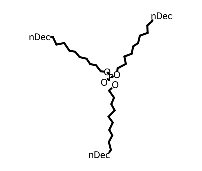 CCCCCCCCCCCCCCCCCCCCOP(=O)(OCCCCCCCCCCCCCCCCCCCC)OCCCCCCCCCCCCCCCCCCCC